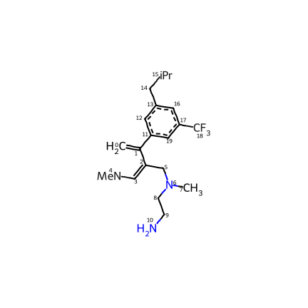 C=C(/C(=C\NC)CN(C)CCN)c1cc(CC(C)C)cc(C(F)(F)F)c1